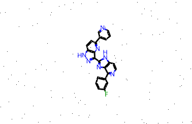 Fc1cccc(-c2nccc3[nH]c(-c4n[nH]c5ccc(-c6cccnc6)nc45)nc23)c1